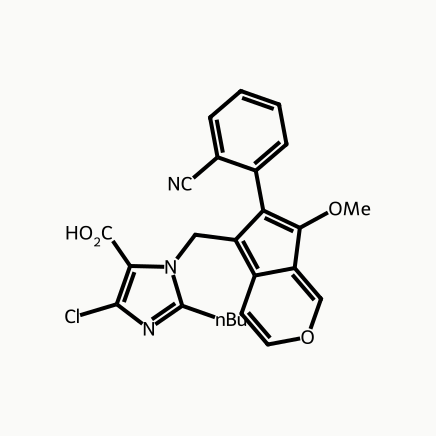 CCCCc1nc(Cl)c(C(=O)O)n1Cc1c2ccocc-2c(OC)c1-c1ccccc1C#N